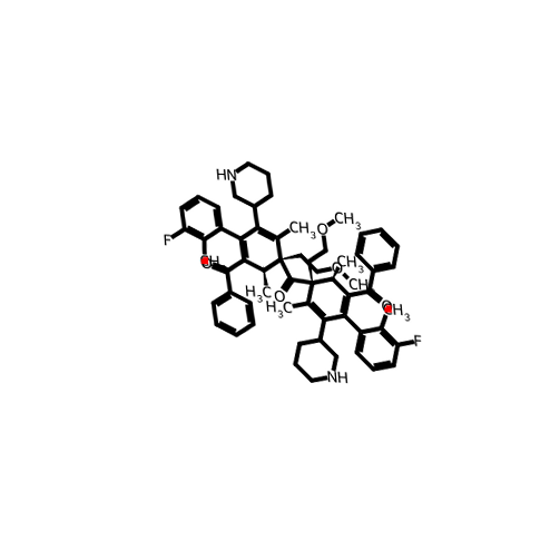 COCC[C@]1(C(=O)[C@@]2(CCOC)C(C)=C(C3CCCNC3)C(c3cccc(F)c3C)=C(C(=O)c3ccccc3)[C@@H]2C)C(C)=C(C2CCCNC2)C(c2cccc(F)c2C)=C(C(=O)c2ccccc2)[C@@H]1C